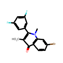 Cn1c(-c2cc(F)cc(F)c2)c(C(=O)O)c(=O)c2ccc(Br)cc21